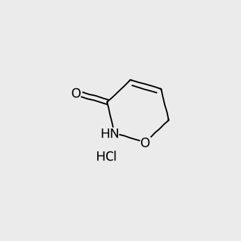 Cl.O=C1C=CCON1